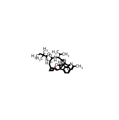 CCC(C)(C)C(=O)N[C@H]1Cc2ccc3c(c2)C2(c4ccccc4N[C@H]2O3)c2oc(nc2-c2nc(C)co2)[C@H](C(C)C)NC1=O